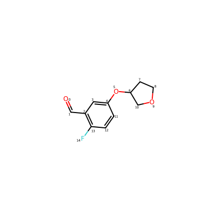 O=Cc1cc(OC2CCOC2)ccc1F